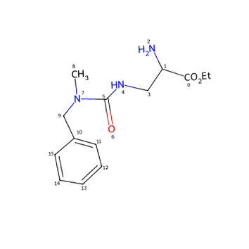 CCOC(=O)C(N)CNC(=O)N(C)Cc1ccccc1